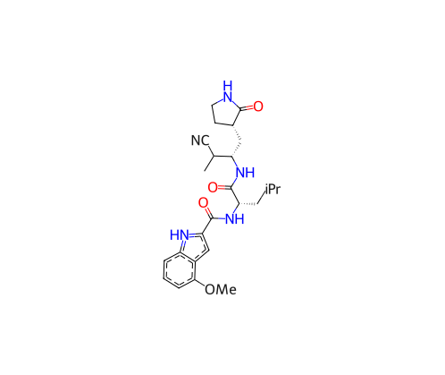 COc1cccc2[nH]c(C(=O)N[C@@H](CC(C)C)C(=O)N[C@@H](C[C@@H]3CCNC3=O)C(C)C#N)cc12